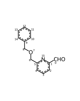 O=Cc1cccc(COCc2ccccc2)n1